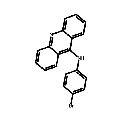 Brc1ccc(Nc2c3ccccc3nc3ccccc23)cc1